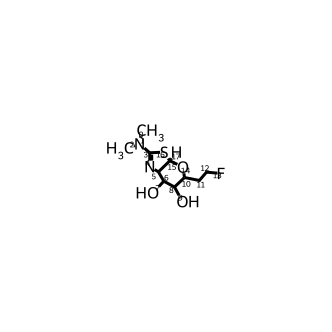 CN(C)C1=NC2C(O)C(O)C(CCF)O[C@H]2S1